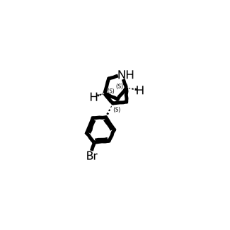 Brc1ccc([C@H]2C[C@H]3C[C@@H]2CN3)cc1